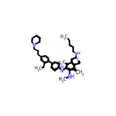 C=c1c(NC)c(Nc2ccc(-c3ccc(CCCN4CCCCC4)cc3CC)cc2)c(=C)c2cc(NCCCCC)ccc12